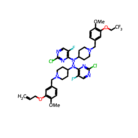 C=CCOc1cc(CN2CCC(N(c3nc(Cl)ncc3F)N(c3nc(Cl)ncc3F)C3CCN(Cc4ccc(OC)c(OCC(F)(F)F)c4)CC3)CC2)ccc1OC